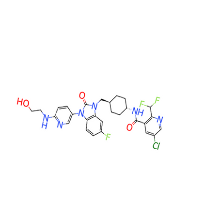 O=C(N[C@H]1CC[C@H](Cn2c(=O)n(-c3ccc(NCCO)nc3)c3ccc(F)cc32)CC1)c1cc(Cl)cnc1C(F)F